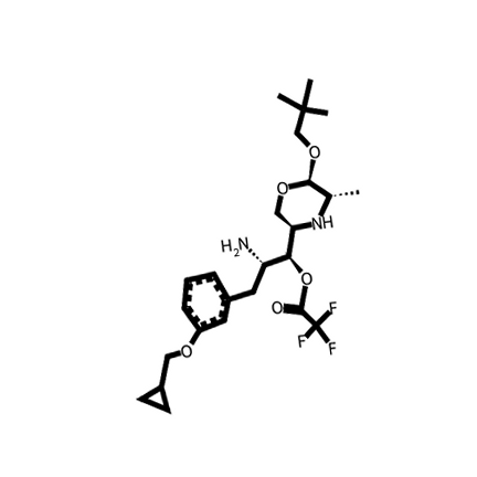 C[C@@H]1N[C@@H]([C@@H](OC(=O)C(F)(F)F)[C@@H](N)Cc2cccc(OCC3CC3)c2)CO[C@H]1OCC(C)(C)C